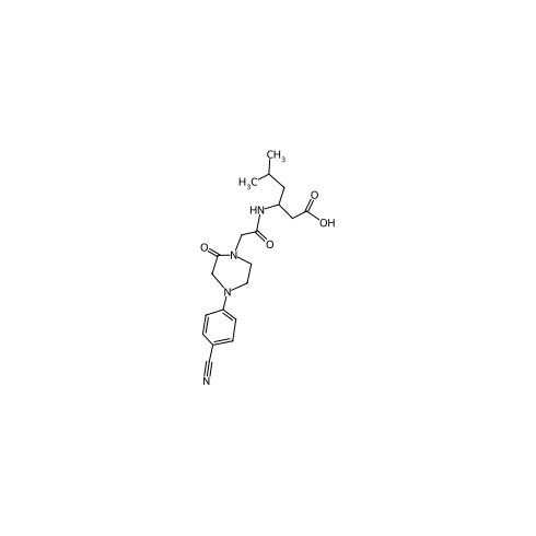 CC(C)CC(CC(=O)O)NC(=O)CN1CCN(c2ccc(C#N)cc2)CC1=O